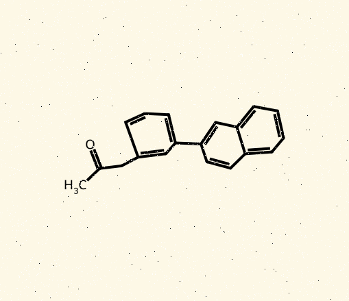 CC(=O)Cc1cccc(-c2ccc3ccccc3c2)c1